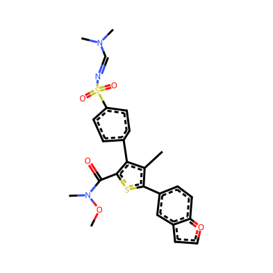 CON(C)C(=O)c1sc(-c2ccc3occc3c2)c(C)c1-c1ccc(S(=O)(=O)N=CN(C)C)cc1